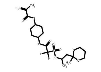 C=C(C)C(=O)OC1CCC(NC(=O)C(F)(F)S(=O)(=O)OC(CC2(C)OCCCO2)C(F)(F)F)CC1